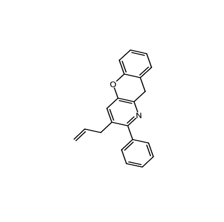 C=CCc1cc2c(nc1-c1ccccc1)Cc1ccccc1O2